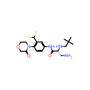 CC(C)(C)CN[C@H](CN)C(=O)Nc1ccc(N2CCOCC2=O)c(C(F)F)c1